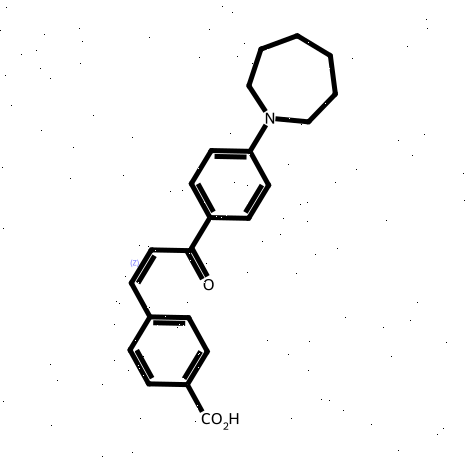 O=C(O)c1ccc(/C=C\C(=O)c2ccc(N3CCCCCC3)cc2)cc1